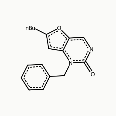 CCCCc1cc2c(cnc(=O)n2Cc2ccccc2)o1